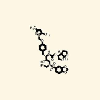 Cc1cc(C)n(COc2ccc(C[C@H](NC(=O)O[C@H]3CO[C@H]4OCC[C@H]43)[C@H](O)CN(CC(C)C)S(=O)(=O)c3ccc4c(c3)OCO4)cc2)n1